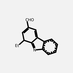 CCC1C=C(C=O)C=C2C1=Nc1ccccc12